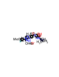 COc1ccc(-c2cnc3c(Nc4ccc(C(=O)N5CC[C@@H](C(=O)NCC[N+](C)(C)C)[C@H](O)C5)c(C)c4)nccn23)cc1F.O=C[O-]